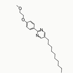 CCCCCCCCCCc1cnc(-c2ccc(OCCOC)cc2)nc1